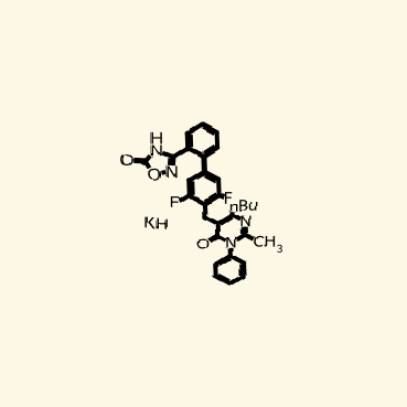 CCCCc1nc(C)n(-c2ccccc2)c(=O)c1Cc1c(F)cc(-c2ccccc2-c2noc(=O)[nH]2)cc1F.[KH]